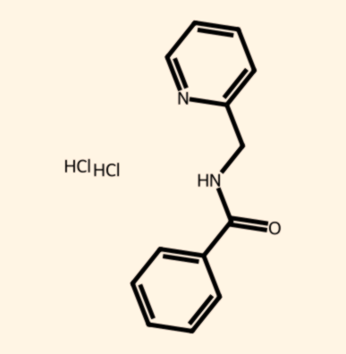 Cl.Cl.O=C(NCc1ccccn1)c1ccccc1